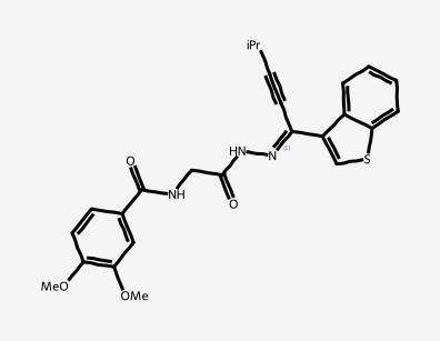 COc1ccc(C(=O)NCC(=O)N/N=C(\C#CC(C)C)c2csc3ccccc23)cc1OC